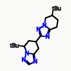 CC(C)(C)C1CCc2nc(C3Cc4ncnn4C(C(C)(C)C)C3)nn2C1